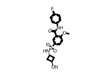 COc1ccc(S(=O)(=O)N[C@H]2C[C@H](O)C2)cc1C(=O)Nc1ccc(F)cc1